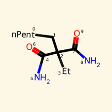 CCCCCCC(CC)(C(N)=O)C(N)=O